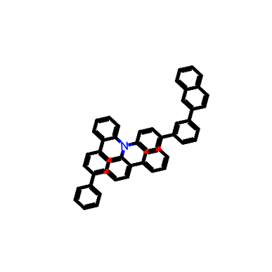 c1ccc(-c2ccc(-c3ccccc3N(c3ccc(-c4cccc(-c5ccc6ccccc6c5)c4)cc3)c3ccccc3-c3ccccc3)cc2)cc1